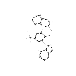 Cc1c(-n2ncc3ccccc32)cc(C(F)(F)F)cc1-[n+]1c(C)ccc2ccccc21